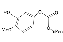 CCCCCOC(=O)Oc1ccc(OC)c(O)c1